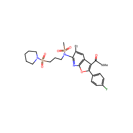 CCc1cc2c(C(=O)NC)c(-c3ccc(F)cc3)oc2nc1N(CCCS(=O)(=O)N1CCCCC1)S(C)(=O)=O